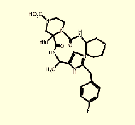 CC(NC(=O)C1(C(C)(C)C)CN(C(=O)O)CCN1C(=O)NC1CCCCC1)c1cnc(Cc2ccc(F)cc2)[nH]1